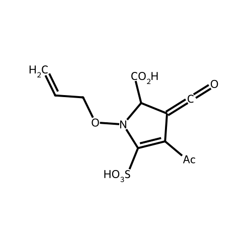 C=CCON1C(S(=O)(=O)O)=C(C(C)=O)C(=C=O)C1C(=O)O